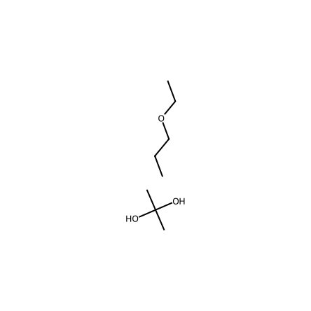 CC(C)(O)O.CCCOCC